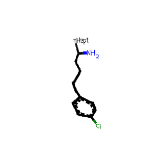 CCCCCCCC(N)CCCc1ccc(Cl)cc1